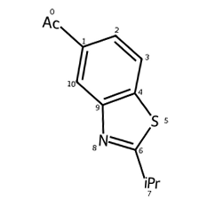 CC(=O)c1ccc2sc(C(C)C)nc2c1